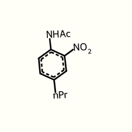 CCCc1ccc(NC(C)=O)c([N+](=O)[O-])c1